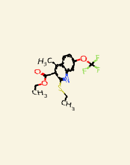 CCOC(=O)c1c(SCC)nc2cc(OC(F)(F)F)ccc2c1C